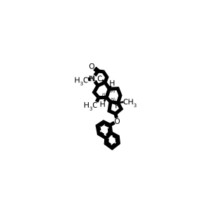 CC1CC2N(C)C(=O)CC[C@]2(C)[C@@H]2CC[C@]3(C)CC(Oc4cccc5ccccc45)C[C@H]3[C@H]12